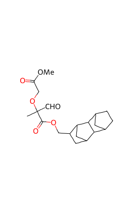 COC(=O)COC(C)(C=O)C(=O)OCC1CC2CC1C1C3CCC(C3)C21